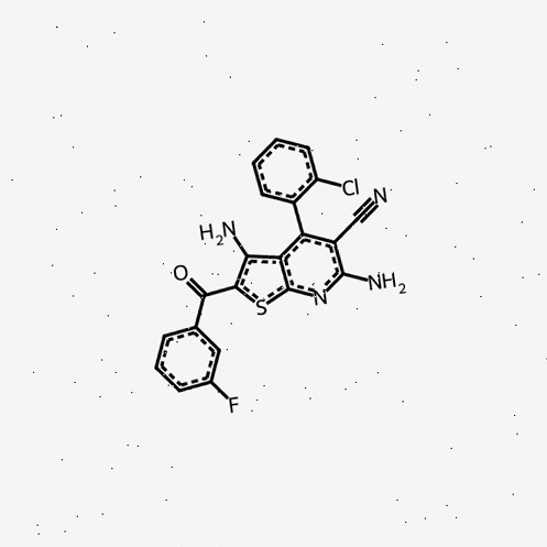 N#Cc1c(N)nc2sc(C(=O)c3cccc(F)c3)c(N)c2c1-c1ccccc1Cl